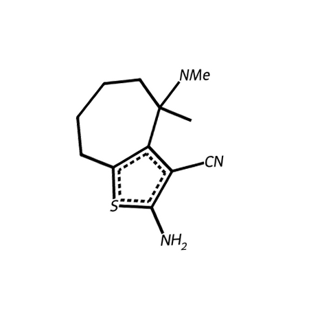 CNC1(C)CCCCc2sc(N)c(C#N)c21